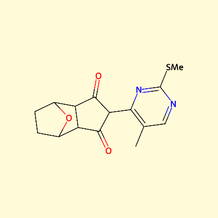 CSc1ncc(C)c(C2C(=O)C3C4CCC(O4)C3C2=O)n1